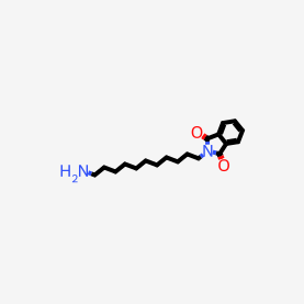 NCCCCCCCCCCCN1C(=O)c2ccccc2C1=O